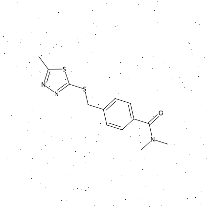 Cc1nnc(SCc2ccc(C(=O)N(C)C)cc2)s1